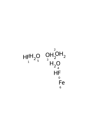 F.F.O.O.O.O.[Fe]